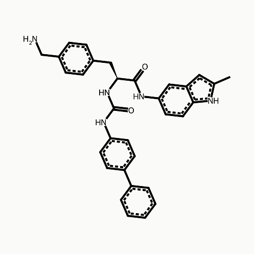 Cc1cc2cc(NC(=O)[C@H](Cc3ccc(CN)cc3)NC(=O)Nc3ccc(-c4ccccc4)cc3)ccc2[nH]1